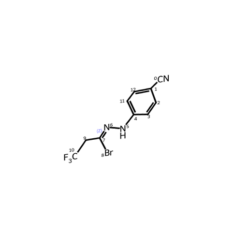 N#Cc1ccc(N/N=C(\Br)CC(F)(F)F)cc1